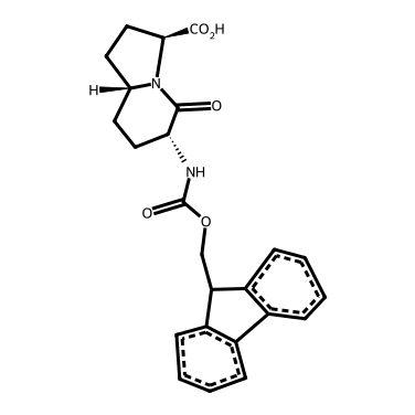 O=C(N[C@@H]1CC[C@@H]2CC[C@@H](C(=O)O)N2C1=O)OCC1c2ccccc2-c2ccccc21